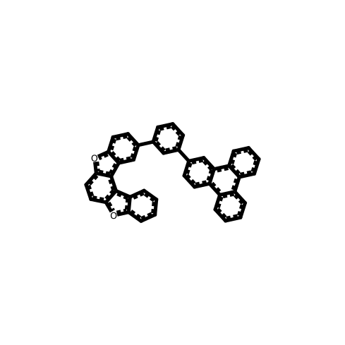 c1cc(-c2ccc3c4ccccc4c4ccccc4c3c2)cc(-c2ccc3oc4ccc5oc6ccccc6c5c4c3c2)c1